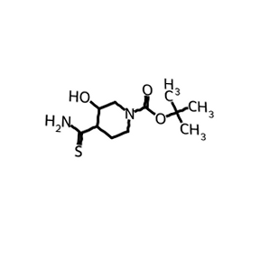 CC(C)(C)OC(=O)N1CCC(C(N)=S)C(O)C1